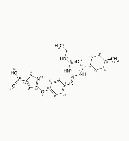 CCNC(=O)N/C(=N\c1ccc(Oc2cc(C(=O)O)sn2)cc1)NC[C@H]1CC[C@H](C)CC1